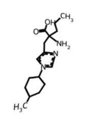 CCCC(N)(Cc1cn(C2CCC(C)CC2)cn1)C(=O)O